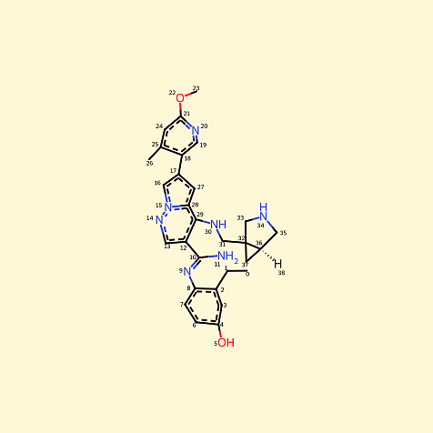 CCc1cc(O)ccc1/N=C(\N)c1cnn2cc(-c3cnc(OC)cc3C)cc2c1NCC12CNC[C@H]1C2